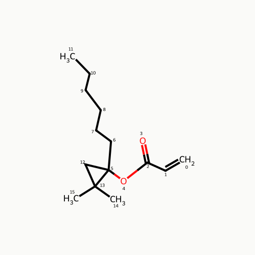 C=CC(=O)OC1(CCCCCC)CC1(C)C